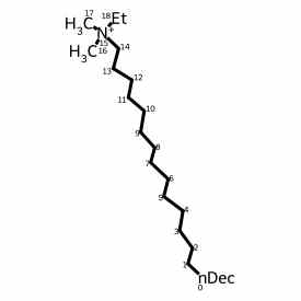 CCCCCCCCCCCCCCCCCCCCCCCC[N+](C)(C)CC